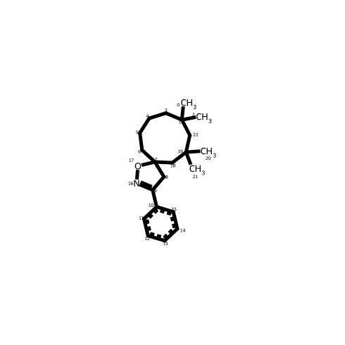 CC1(C)CCCCC2(CC(c3ccccc3)=NO2)CC(C)(C)C1